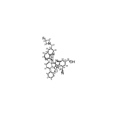 CC1C(c2ccccc2Cl)=CC=CC1(Nc1nccc2cc(CN3CC(F)C3)cnc12)c1nc2cc(CO)cc(C#N)c2o1